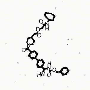 N=C(NC(=O)OCc1ccccc1)c1ccc(-c2ccc(C(=O)N3CCC(CC(=O)OCC(=O)NC4CCCCC4)CC3)cc2)cc1